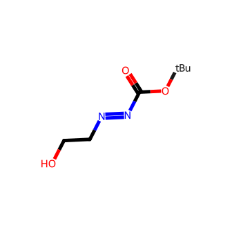 CC(C)(C)OC(=O)N=NCCO